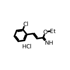 CCOC(=N)C=Cc1ccccc1Cl.Cl